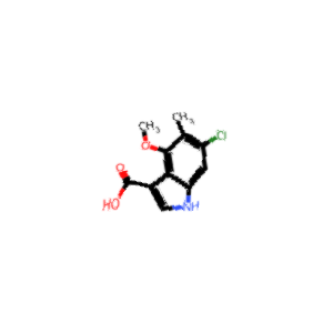 COc1c(C)c(Cl)cc2[nH]cc(C(=O)O)c12